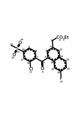 CCOC(=O)Cc1cc(C(=O)c2ccc(S(C)(=O)=O)cc2Cl)c2cc(F)ccc2c1